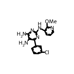 COc1ncccc1Nc1nc(N)c(N)c(-c2cccc(Cl)c2)n1